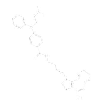 CN(C)CCN(c1ccccc1)c1ccc(C(=O)NCCCCn2cnc3c(N)nc4ccccc4c32)cc1